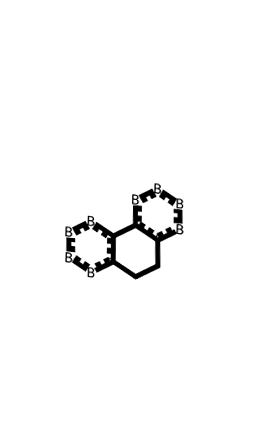 b1bbc2c(b1)CCc1bbbbc1-2